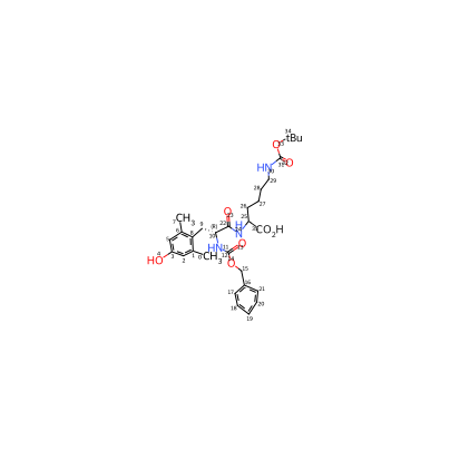 Cc1cc(O)cc(C)c1C[C@@H](NC(=O)OCc1ccccc1)C(=O)NC(CCCCNC(=O)OC(C)(C)C)C(=O)O